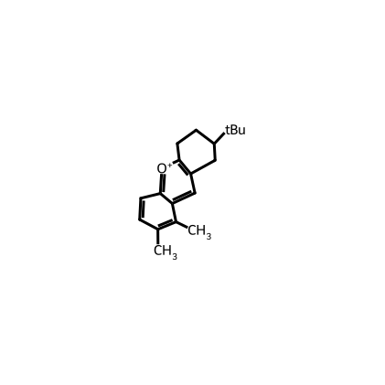 Cc1ccc2[o+]c3c(cc2c1C)CC(C(C)(C)C)CC3